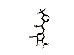 N#C/C(=C\c1cc(O)c(O)c([N+](=O)[O-])c1)c1cncc(C(F)(F)F)c1